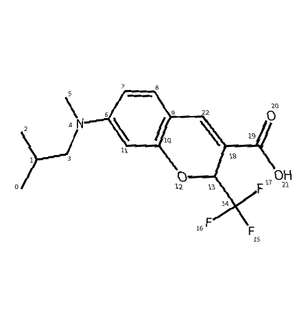 CC(C)CN(C)c1ccc2c(c1)OC(C(F)(F)F)C(C(=O)O)=C2